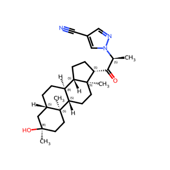 C[C@@H](C(=O)[C@H]1CC[C@H]2[C@@H]3CC[C@H]4C[C@](C)(O)CC[C@]4(C)[C@H]3CC[C@]12C)n1cc(C#N)cn1